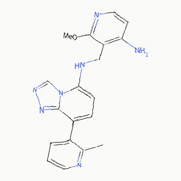 COc1nccc(N)c1CNc1ccc(-c2cccnc2C)c2nncn12